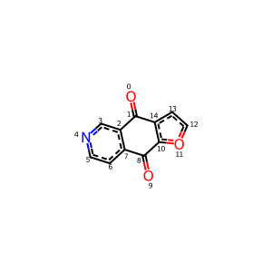 O=C1c2cnccc2C(=O)c2occc21